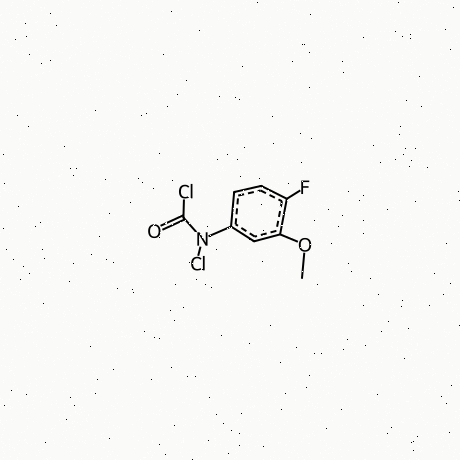 COc1cc(N(Cl)C(=O)Cl)ccc1F